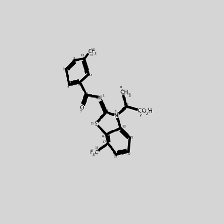 CC(C(=O)O)n1c(=NC(=O)c2cccc(C(F)(F)F)c2)sc2c(C(F)(F)F)cccc21